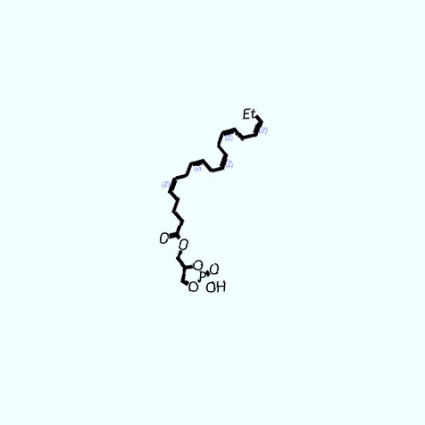 CC/C=C\C/C=C\C/C=C\C/C=C\C/C=C\CCCC(=O)OCC1COP(=O)(O)O1